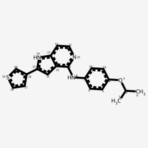 CC(C)Oc1ccc(Nc2nccc3[nH]c(-c4ccsc4)cc23)cc1